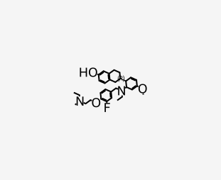 CCN(C)CCOc1ccc(CN(CC)C2C=C(OC)C=CC2[C@@H]2CCc3cc(O)ccc3C2)cc1F